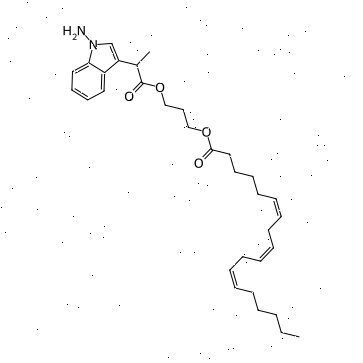 CCCCC/C=C\C/C=C\C/C=C\CCCCC(=O)OCCCOC(=O)C(C)c1cn(N)c2ccccc12